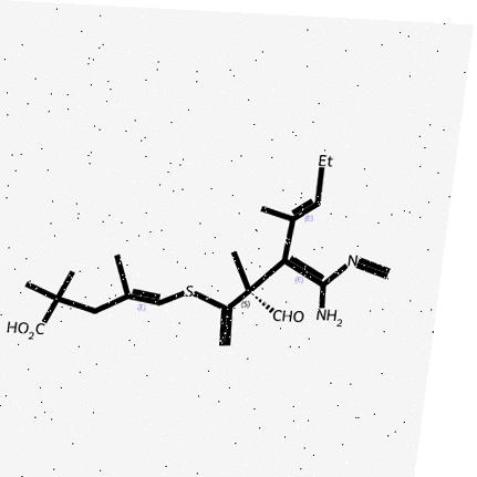 C=N/C(N)=C(\C(C)=C\CC)[C@@](C)(C=O)C(=C)S/C=C(\C)CC(C)(C)C(=O)O